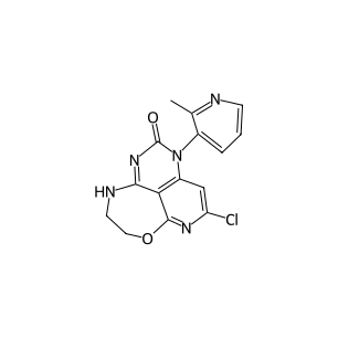 Cc1ncccc1-n1c(=O)nc2c3c(nc(Cl)cc31)OCCN2